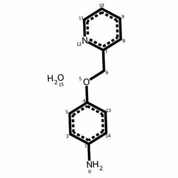 Nc1ccc(OCc2ccccn2)cc1.O